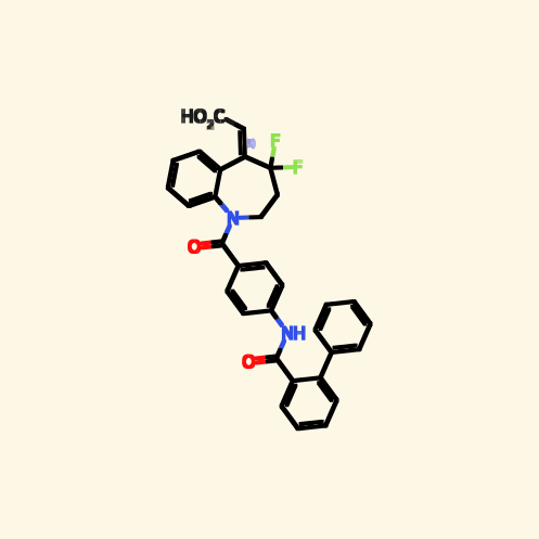 O=C(O)/C=C1\c2ccccc2N(C(=O)c2ccc(NC(=O)c3ccccc3-c3ccccc3)cc2)CCC1(F)F